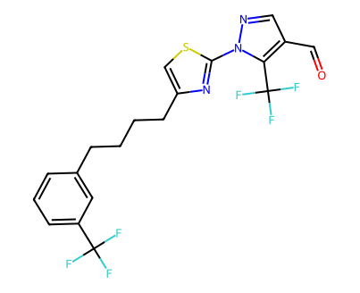 O=Cc1cnn(-c2nc(CCCCc3cccc(C(F)(F)F)c3)cs2)c1C(F)(F)F